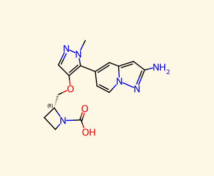 Cn1ncc(OC[C@H]2CCN2C(=O)O)c1-c1ccn2nc(N)cc2c1